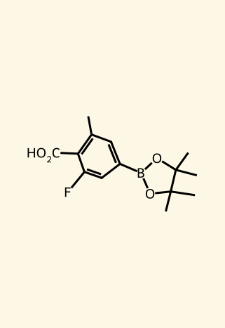 Cc1cc(B2OC(C)(C)C(C)(C)O2)cc(F)c1C(=O)O